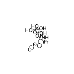 CC(C)c1[nH]nc(O[C@@H]2O[C@H](CO)[C@@H](O)[C@H](O)[C@H]2O)c1Cc1ccccc1OC1CCOCC1